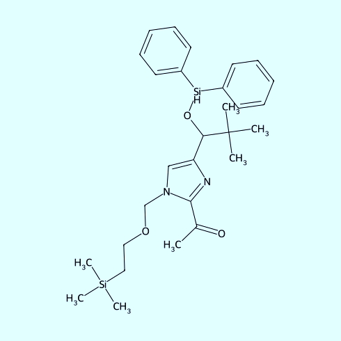 CC(=O)c1nc(C(O[SiH](c2ccccc2)c2ccccc2)C(C)(C)C)cn1COCC[Si](C)(C)C